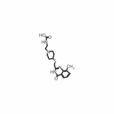 Cc1cccc2c(=O)[nH]c(CSC3CCN(CCNC(=O)O)CC3)nc12